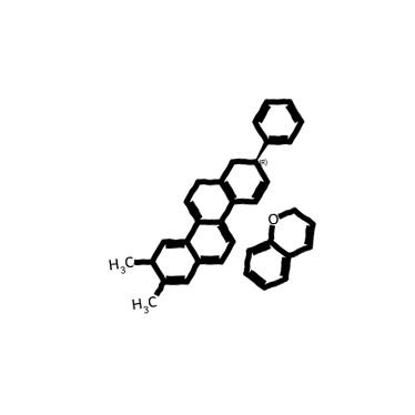 C1=Cc2ccccc2OC1.CC1=Cc2ccc3c(c2=CC1C)=CCC1=C3C=C[C@H](c2ccccc2)C1